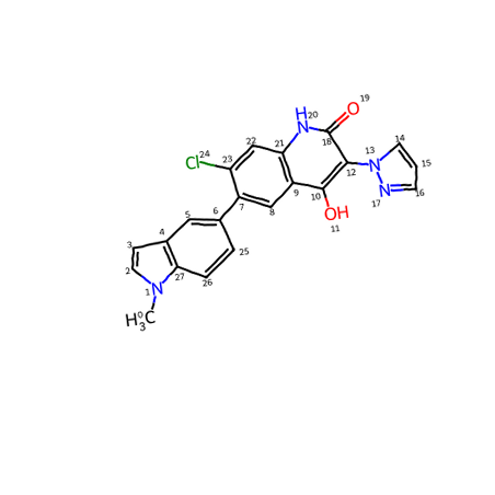 Cn1ccc2cc(-c3cc4c(O)c(-n5cccn5)c(=O)[nH]c4cc3Cl)ccc21